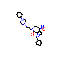 O=C1c2c(ccn2Cc2ccccc2)/C(=N\O)CCN1CCCN1CCN(c2ccccc2)CC1